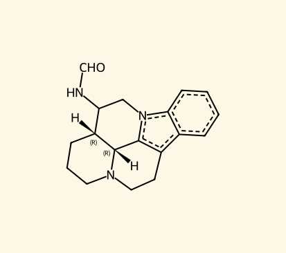 O=CNC1Cn2c3c(c4ccccc42)CCN2CCC[C@H]1[C@H]32